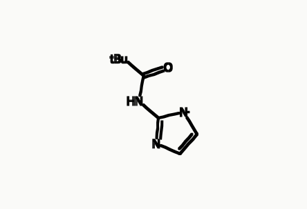 CC(C)(C)C(=O)NC1=NC=C[N]1